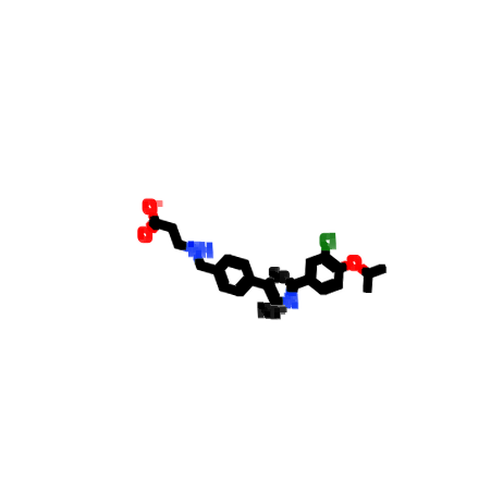 CC(C)Oc1ccc(-c2ncc(-c3ccc(CNCCC(=O)[O-])cc3)[se]2)cc1Cl.[Na+]